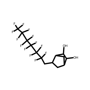 OC1C2CC(CC(F)(F)C(F)(F)C(F)(F)C(F)(F)C(F)(F)C(F)(F)F)C(C2)C1O